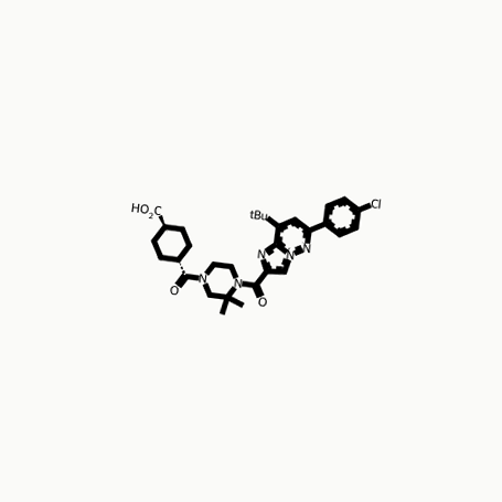 CC(C)(C)c1cc(-c2ccc(Cl)cc2)nn2cc(C(=O)N3CCN(C(=O)[C@H]4CC[C@H](C(=O)O)CC4)CC3(C)C)nc12